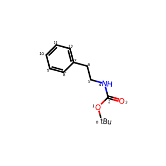 CC(C)(C)OC(=O)NCCc1[c]cccc1